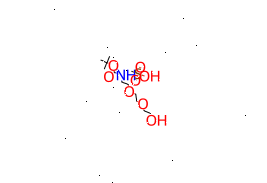 CC(C)(C)OC(=O)NCCOCCOCCO.CS(=O)(=O)O